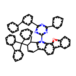 CC1c2c(c3ccc4c5ccccc5oc4c3n2-c2nc(-c3ccccc3)nc(-c3cccc(-c4ccccc4)c3)n2)C=CC1C1(c2ccccc2)c2ccccc2-c2ccccc21